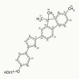 CCCCCCCCOc1ccc(-c2ccc(-c3ccc4c(c3)C(C)(C)c3cc(C)ccc3-4)s2)cc1